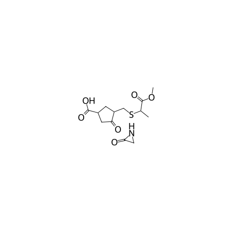 COC(=O)C(C)SCC1CC(C(=O)O)CC1=O.O=C1CN1